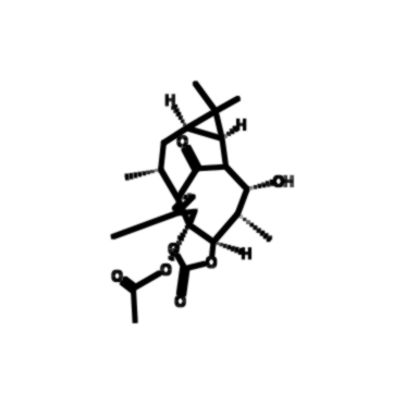 CC(=O)O[C@H]1C(C)=C[C@]23C(=O)C([C@H](O)[C@H](C)[C@H]4OC(=O)O[C@@]412)[C@H]1[C@@H](C[C@H]3C)C1(C)C